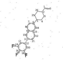 C=CC1CCC(c2ccc3cc(-c4cc(F)c(F)c(F)c4)ccc3c2)CC1